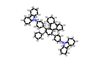 c1ccc(-c2cc(-c3ccc(-n4c5ccccc5c5ccccc54)cc3)c3c4ccccc4c4ccccc4c3c2-c2ccc(-n3c4ccccc4c4ccccc43)cc2)cc1